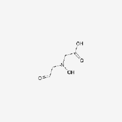 O=CCN(O)CC(=O)O